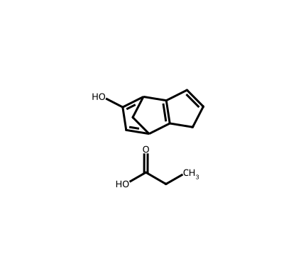 CCC(=O)O.OC1=C2CC(=C1)C1=C2C=CC1